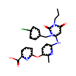 CCCn1c(=O)cc(Nc2ccc(Oc3cccc(C(=O)O)n3)c(C)n2)n(Cc2ccc(Cl)cc2)c1=O